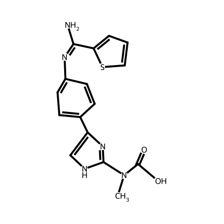 CN(C(=O)O)c1nc(-c2ccc(/N=C(/N)c3cccs3)cc2)c[nH]1